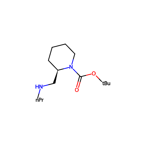 CCCNC[C@H]1CCCCN1C(=O)OC(C)(C)C